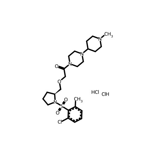 Cc1cccc(Cl)c1S(=O)(=O)N1CCC[C@H]1COCC(=O)N1CCN(C2CCN(C)CC2)CC1.Cl.Cl